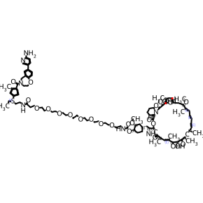 C/C=S(\CCNC(=O)CCOCCOCCOCCOCCOCCOCCOCCOCCNC(=O)O[C@@H]1CC[C@@H](C[C@@H](N)[C@@H]2CC(=O)[C@H](C)/C=C(\C)[C@@H](O)[C@@H](O)C(=O)[C@H](C)C[C@H](C)/C=C/C=C/C=C(\C)[C@@H](OC)C[C@@H]3CC[C@@H](C)[C@@](O)(O3)C(=O)C(=O)N3CCCC[C@H]3C(=O)O2)C[C@H]1OC)c1ccc(C(=O)N2CCOc3ccc(-c4ccc(N)nc4)cc3C2)c(C)c1